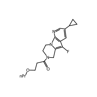 CCCOCCC(=O)N1CCn2c(c(F)c3cc(C4CC4)cnc32)C1